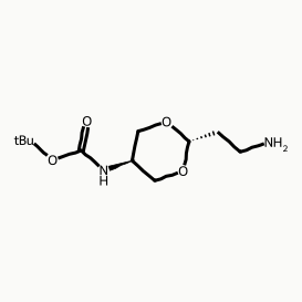 CC(C)(C)OC(=O)N[C@H]1CO[C@H](CCN)OC1